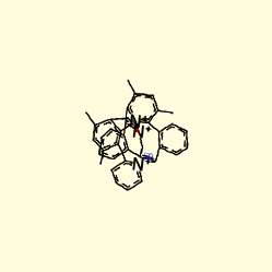 Cc1cc(C)c2c3c1-c1cccc[n+]1C/C1=C(/c4ccccc4-c4c(C)cc(C)c([n+]4-3)-c3ccccc31)[n+]1ccccc1-2